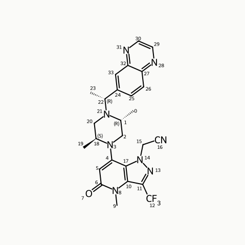 C[C@@H]1CN(c2cc(=O)n(C)c3c(C(F)(F)F)nn(CC#N)c23)[C@@H](C)CN1[C@H](C)c1ccc2nccnc2c1